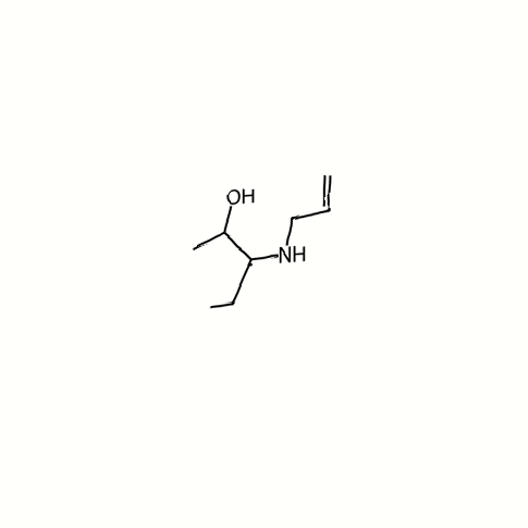 C=CCN[C](CC)C(C)O